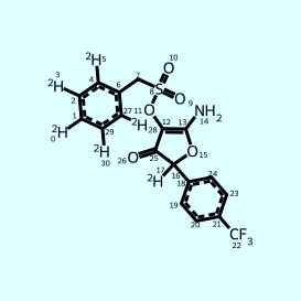 [2H]c1c([2H])c([2H])c(CS(=O)(=O)OC2=C(N)OC([2H])(c3ccc(C(F)(F)F)cc3)C2=O)c([2H])c1[2H]